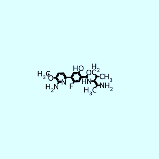 C=C(C)/C(NC(=O)c1cc(F)c(-c2ccc(OC)c(N)n2)cc1O)=C(/C)N